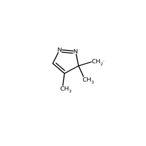 [CH2]C1(C)N=NC=C1C